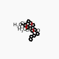 CC(C)(C)c1cc(-c2cccc3cccc(-c4ccccc4N(c4ccc(-c5cccc6c5ccc5ccccc56)cc4)c4ccccc4-c4ccc5c(c4)oc4ccccc45)c23)cc(C(C)(C)C)c1